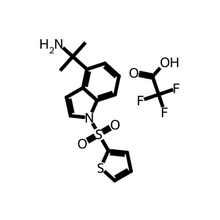 CC(C)(N)c1cccc2c1ccn2S(=O)(=O)c1cccs1.O=C(O)C(F)(F)F